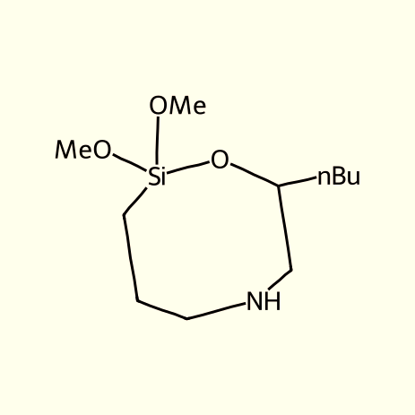 CCCCC1CNCCC[Si](OC)(OC)O1